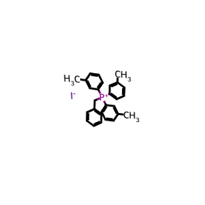 Cc1cccc([P+](Cc2ccccc2)(c2cccc(C)c2)c2cccc(C)c2)c1.[I-]